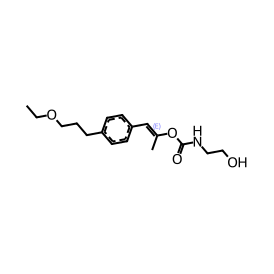 CCOCCCc1ccc(/C=C(\C)OC(=O)NCCO)cc1